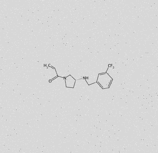 C=CC(=O)N1CC[C@@H](NCc2cccc(C(F)(F)F)c2)C1